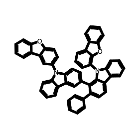 c1ccc(-c2ccc3c4ccccc4n(-c4cccc5c4oc4ccccc45)c3c2-c2ccc3c(c2)c2ccccc2n3-c2ccc3oc4ccccc4c3c2)cc1